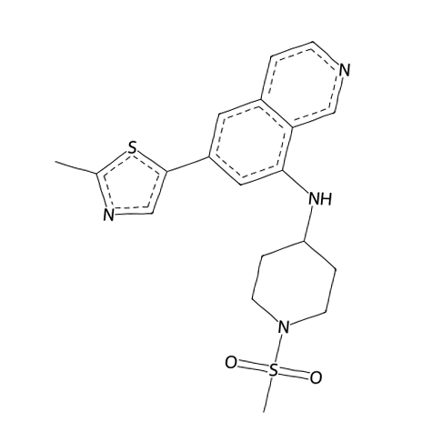 Cc1ncc(-c2cc(NC3CCN(S(C)(=O)=O)CC3)c3cnccc3c2)s1